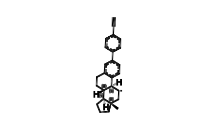 C#Cc1ccc(-c2ccc3c(c2)CC[C@@H]2[C@@H]3[CH]C[C@]3(C)CCC[C@@H]23)cc1